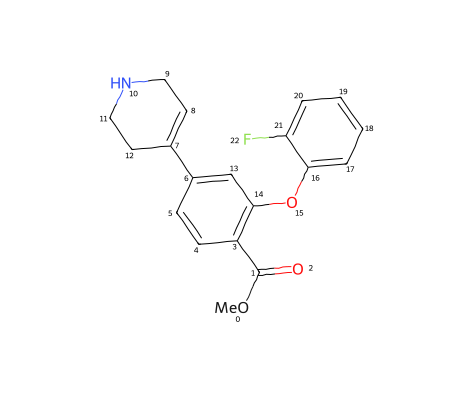 COC(=O)c1ccc(C2=CCNCC2)cc1Oc1ccccc1F